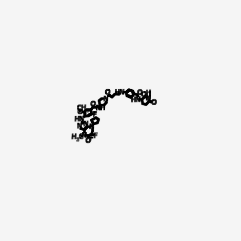 COc1cc(C(=O)NC2CCN(C(=O)CCCNc3ccc(C(=O)NC4CCC(=O)NC4=O)cc3)CC2)c(F)cc1Nc1ncc2c(n1)N(C1CCCC1)CC(F)(F)C(=O)N2C